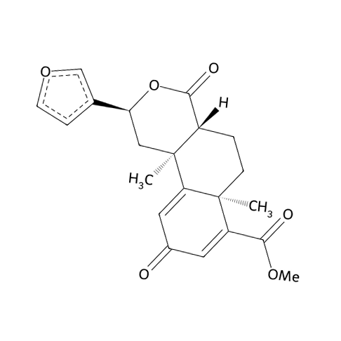 COC(=O)C1=CC(=O)C=C2[C@@]1(C)CC[C@H]1C(=O)O[C@H](c3ccoc3)C[C@]21C